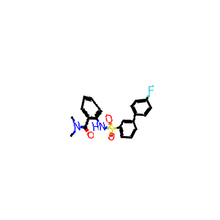 CN(C)C(=O)c1ccccc1NS(=O)(=O)c1cccc(-c2ccc(F)cc2)c1